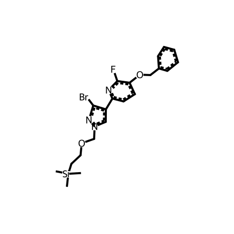 C[Si](C)(C)CCOCn1cc(-c2ccc(OCc3ccccc3)c(F)n2)c(Br)n1